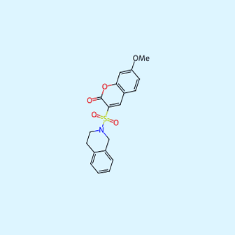 COc1ccc2cc(S(=O)(=O)N3CCc4ccccc4C3)c(=O)oc2c1